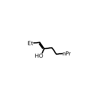 CC/C=C(\O)CCCCC